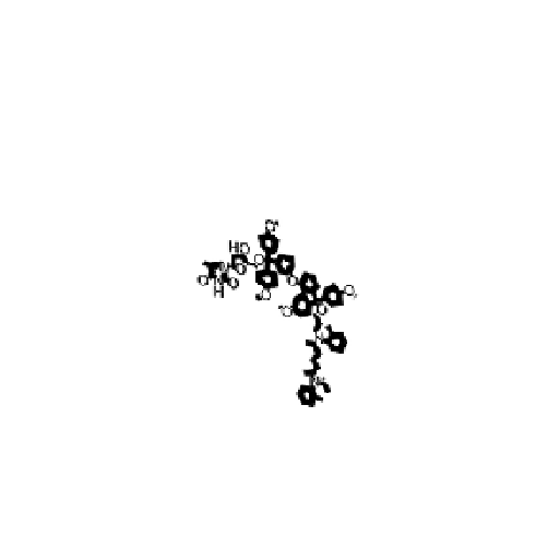 CC\[N+](=C(C)/C=C/C=C(\C)N(CCCOC(c1ccc(OC)cc1)(c1ccc(OC)cc1)c1cccc(Oc2cccc(C(OC[C@H]3O[C@@H](n4cc(C)c(=O)[nH]c4=O)C[C@H]3O)(c3ccc(OC)cc3)c3ccc(OC)cc3)c2)c1)c1ccccc1C)c1ccccc1C